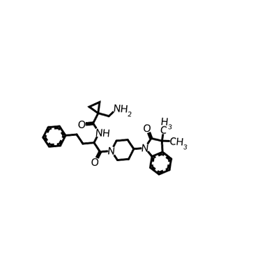 CC1(C)C(=O)N(C2CCN(C(=O)C(CCc3ccccc3)NC(=O)C3(CN)CC3)CC2)c2ccccc21